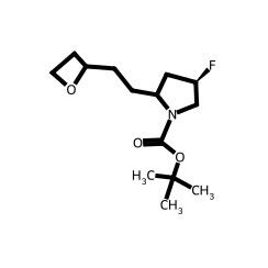 CC(C)(C)OC(=O)N1C[C@H](F)CC1CCC1CCO1